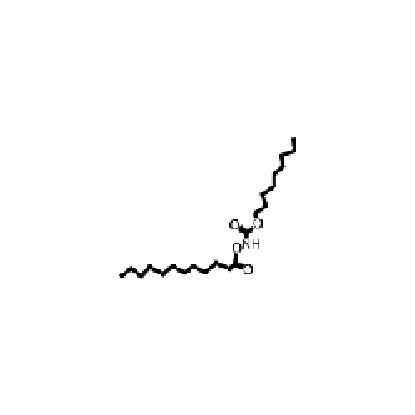 CCCCCCCCCCCC(=O)ONC(=O)OCCCCCCCCC